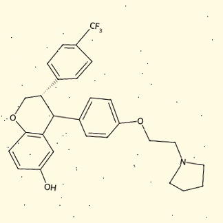 Oc1ccc2c(c1)C(c1ccc(OCCN3CCCC3)cc1)[C@@H](c1ccc(C(F)(F)F)cc1)CO2